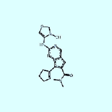 CN(C)C(=O)c1cc2cnc(NC3=COCN3O)nn2c1C1=CCCC1